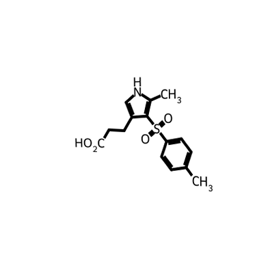 Cc1ccc(S(=O)(=O)c2c(CCC(=O)O)c[nH]c2C)cc1